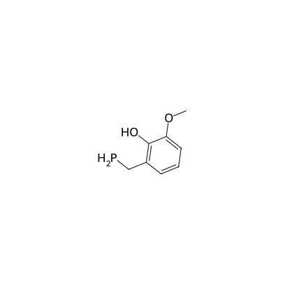 COc1cccc(CP)c1O